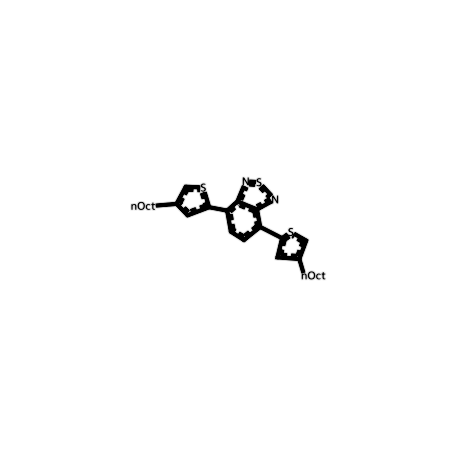 CCCCCCCCc1csc(-c2ccc(-c3cc(CCCCCCCC)cs3)c3nsnc23)c1